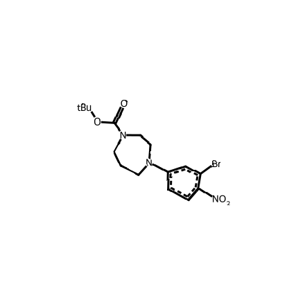 CC(C)(C)OC(=O)N1CCCN(c2ccc([N+](=O)[O-])c(Br)c2)CC1